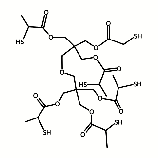 CC(S)C(=O)OCC(COCC(COC(=O)C(C)S)(COC(=O)C(C)S)COC(=O)C(C)S)(COC(=O)CS)COC(=O)C(C)S